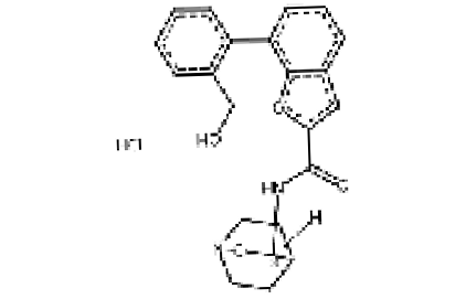 Cl.O=C(N[C@@H]1CN2CCC1CC2)c1cc2cccc(-c3ccccc3CO)c2o1